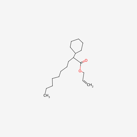 C=CCOC(=O)C(CCCCCCCC)C1CCCCC1